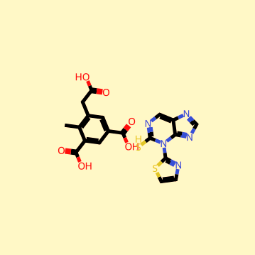 Cc1c(CC(=O)O)cc(C(=O)O)cc1C(=O)O.Sc1ncc2ncnc-2n1-c1nccs1